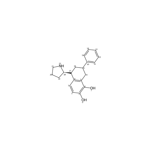 Oc1ccc2c(c1O)CC(c1ccccc1)CC2[C@H]1CCCN1